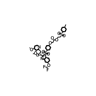 COc1ccnc(C[S+]([O-])c2nc3cc(OC(F)F)ccc3n2S(=O)(=O)c2ccc(OCC(=O)OCCS(=O)(=O)c3ccc(C)cc3)cc2)c1OC